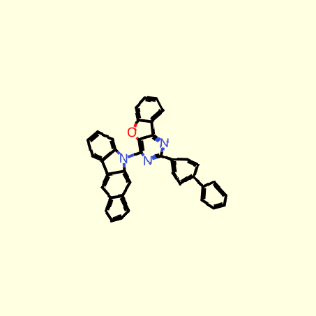 c1ccc(-c2ccc(-c3nc(-n4c5ccccc5c5cc6ccccc6cc54)c4oc5ccccc5c4n3)cc2)cc1